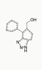 OCc1ccc2[nH]nnc2c1-c1ccccc1